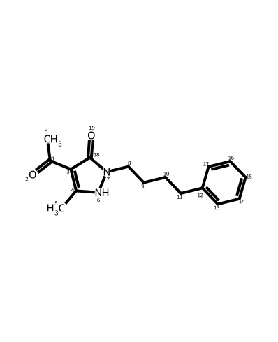 CC(=O)c1c(C)[nH]n(CCCCc2ccccc2)c1=O